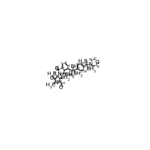 BC(B)(Nc1cccc2c1C(B)(B)N(C(B)(CCC=O)C(=O)NC)C2=O)c1ccc(C(B)(B)N2CCOCC2)cc1